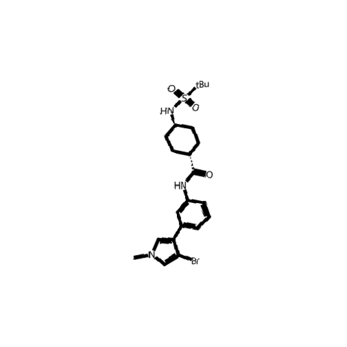 Cn1cc(Br)c(-c2cccc(NC(=O)[C@H]3CC[C@H](NS(=O)(=O)C(C)(C)C)CC3)c2)c1